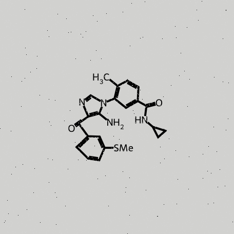 CSc1cccc(C(=O)c2ncn(-c3cc(C(=O)NC4CC4)ccc3C)c2N)c1